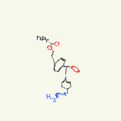 CCCC(=O)OCCc1ccc(C(=O)C2CCC(CN)CC2)cc1